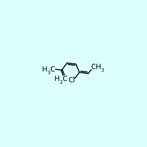 C=C(C)/C=C\C(Cl)=C/C